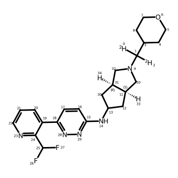 [2H]C([2H])(C1CCOCC1)N1C[C@H]2CC(Nc3ccc(-c4cccnc4C(F)F)nn3)C[C@H]2C1